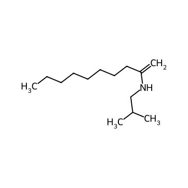 C=C(CCCCCCCC)NCC(C)C